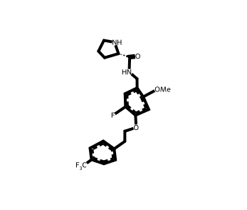 COc1cc(OCCc2ccc(C(F)(F)F)cc2)c(F)cc1CNC(=O)[C@@H]1CCCN1